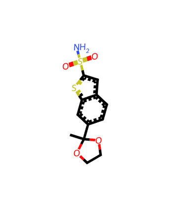 CC1(c2ccc3cc(S(N)(=O)=O)sc3c2)OCCO1